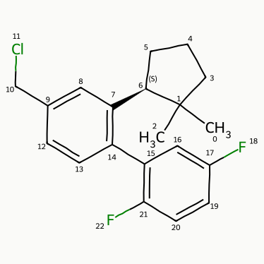 CC1(C)CCC[C@@H]1c1cc(CCl)ccc1-c1cc(F)ccc1F